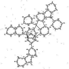 c1ccc(-n2c3ccccc3c3ccc4c(c32)-c2cccc(-c3nc(-c5ccc6ccccc6c5)nc(-c5ccc6oc7ccccc7c6c5)n3)c2C4(c2ccccc2)c2ccccc2)cc1